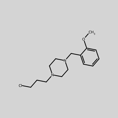 COc1ccccc1CN1CCN(CCCCl)CC1